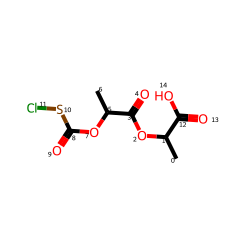 CC(OC(=O)C(C)OC(=O)SCl)C(=O)O